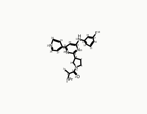 CCCC(I)C(=O)N1CCC(c2nc(Nc3cccc(F)c3)cc(-c3ccncc3)n2)C1